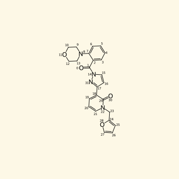 O=C(c1ccccc1N1CCOCC1)n1ccc(-c2cccn(Cc3ccco3)c2=O)n1